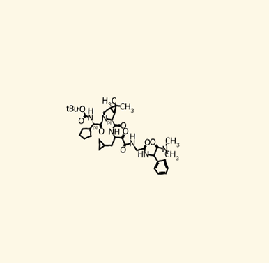 CN(C)C(=O)C(NC(=O)CNC(=O)C(=O)C(CC1CC1)NC(=O)[C@@H]1C2C(CN1C(=O)[C@@H](NC(=O)OC(C)(C)C)C1CCCC1)C2(C)C)c1ccccc1